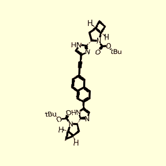 CC(C)(C)OC(=O)N1[C@@H]2CC[C@@H]2C[C@H]1c1nc(C#Cc2ccc3cc(-c4cnc([C@@H]5C[C@H]6C[C@H]6N5C(=O)OC(C)(C)C)[nH]4)ccc3c2)c[nH]1